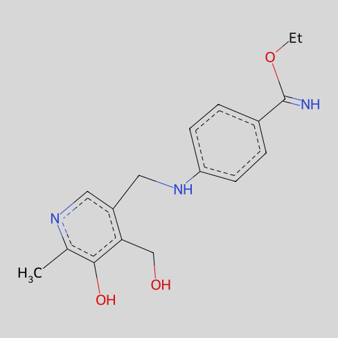 CCOC(=N)c1ccc(NCc2cnc(C)c(O)c2CO)cc1